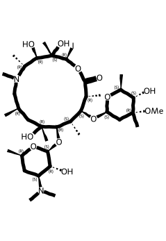 CO[C@]1(C)C[C@@H](O[C@H]2[C@H](C)[C@@H](O[C@@H]3O[C@H](C)C[C@H](N(C)C)[C@H]3O)[C@](C)(O)C[C@@H](C)CN(C)[C@H](C)[C@@H](O)[C@](C)(O)[C@@H](I)OC(=O)[C@@H]2C)O[C@@H](C)[C@@H]1O